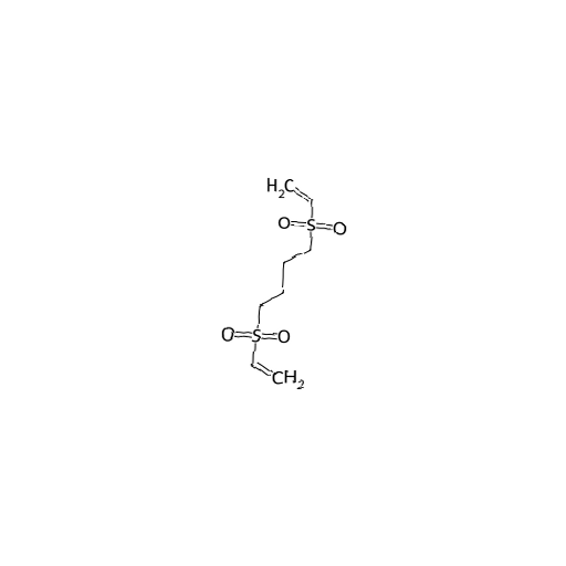 C=CS(=O)(=O)CCCCS(=O)(=O)C=C